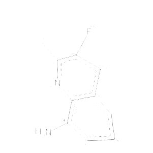 Cc1nc2c(N)cccc2cc1F